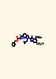 COc1cc(C(=O)O)cc2nc(-c3cc4ccc([C@@H](C)NC(=O)OCc5ccccc5)nc4n3CC3CC3)c(C)n12